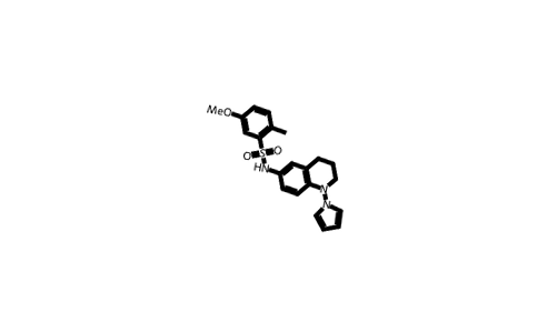 COc1ccc(C)c(S(=O)(=O)Nc2ccc3c(c2)CCCN3n2cccc2)c1